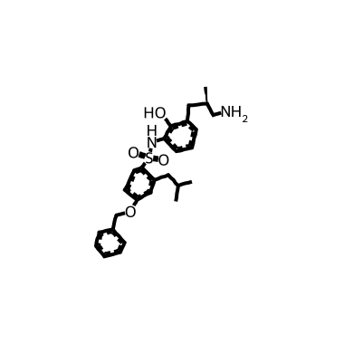 CC(C)Cc1cc(OCc2ccccc2)ccc1S(=O)(=O)Nc1cccc(C[C@@H](C)CN)c1O